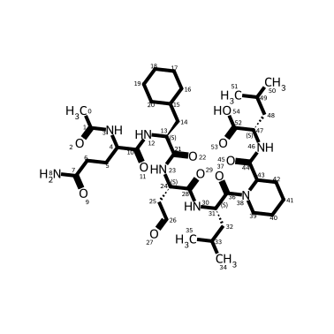 CC(=O)NC(CCC(N)=O)C(=O)N[C@@H](CC1CCCCC1)C(=O)N[C@@H](CC=O)C(=O)N[C@@H](CC(C)C)C(=O)N1CCCCC1C(=O)N[C@@H](CC(C)C)C(=O)O